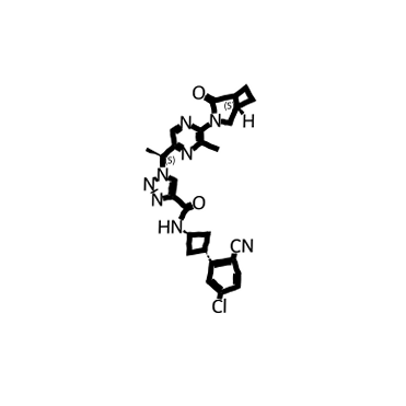 Cc1nc([C@H](C)n2cc(C(=O)N[C@H]3C[C@@H](c4cc(Cl)ccc4C#N)C3)nn2)cnc1N1C[C@H]2CCC2C1=O